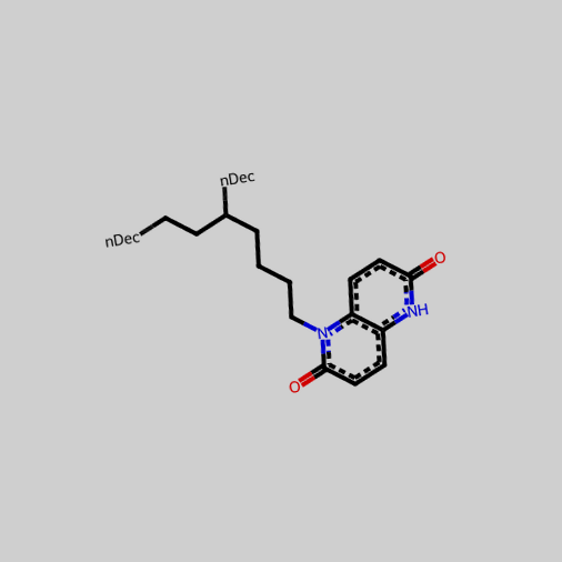 CCCCCCCCCCCCC(CCCCCCCCCC)CCCCn1c(=O)ccc2[nH]c(=O)ccc21